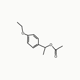 CCOc1ccc(C(C)OC(C)=O)cc1